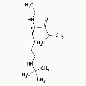 CCN[C@H](CCCCNC(C)(C)C)C(=O)C(C)C